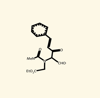 CCOC(=O)CN(C(=O)NC)C([C]=O)C(=O)C=Cc1ccccc1